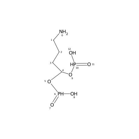 NCCCC(O[PH](=O)O)O[PH](=O)O